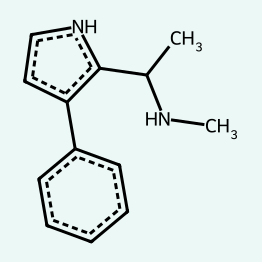 CNC(C)c1[nH]ccc1-c1ccccc1